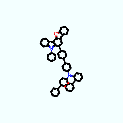 c1ccc(-c2ccc(N(c3ccc(-c4ccc(-c5cc6c7ccccc7oc6c6c7ccccc7n(-c7ccccc7)c56)cc4)cc3)c3ccccc3-c3ccccc3)cc2)cc1